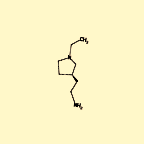 CCN1CC[C@H](CCN)C1